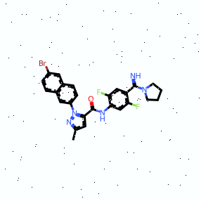 Cc1cc(C(=O)Nc2cc(F)c(C(=N)N3CCCC3)cc2F)n(-c2ccc3cc(Br)ccc3c2)n1